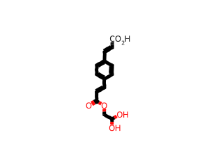 O=C(O)C=Cc1ccc(C=CC(=O)OCC(O)O)cc1